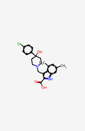 Cc1cc(C)c2c(CN3CCC(O)(c4ccc(Cl)cc4)CC3)c(C(=O)O)[nH]c2c1